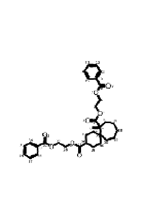 CC1(C(=O)OCCOC(=O)c2ccccc2)CCCCCC12CCC(C(=O)OCCOC(=O)c1ccccc1)CC2